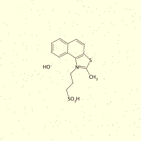 Cc1sc2ccc3ccccc3c2[n+]1CCCS(=O)(=O)O.[OH-]